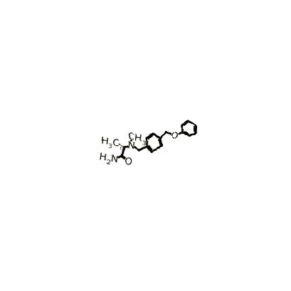 C[C@@H](C(N)=O)N(C)Cc1ccc(COc2ccccc2)cc1